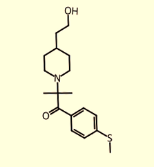 CSc1ccc(C(=O)C(C)(C)N2CCC(CCO)CC2)cc1